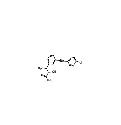 CC(c1cccc(C#Cc2ccc(Cl)cc2)c1)N(O)C(N)=O